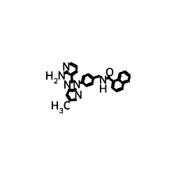 Cc1cnc2c(c1)nc(-c1cccnc1N)n2-c1ccc(CNC(=O)c2cccc3ccccc23)cc1